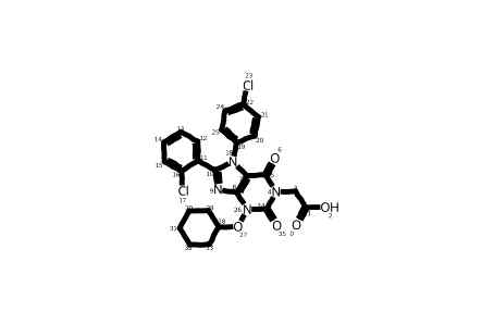 O=C(O)Cn1c(=O)c2c(nc(-c3ccccc3Cl)n2-c2ccc(Cl)cc2)n(OC2CCCCC2)c1=O